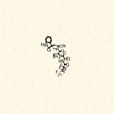 CC[C@H](NC(=O)C(F)(F)C(F)(F)C(F)(F)F)C(=O)N(C)[C@@H](CC(C)C)C(=O)N1C[C@]2(C[C@H]1C#N)C(=O)Nc1ccccc12